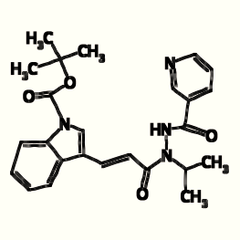 CC(C)N(NC(=O)c1cccnc1)C(=O)C=Cc1cn(C(=O)OC(C)(C)C)c2ccccc12